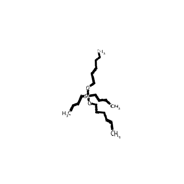 CCCCCC[O][Sn]([CH2]CCC)([CH2]CCC)[O]CCCCCC